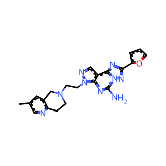 Cc1cnc2c(c1)CN(CCn1ncc3c1nc(N)n1nc(-c4ccco4)nc31)CC2